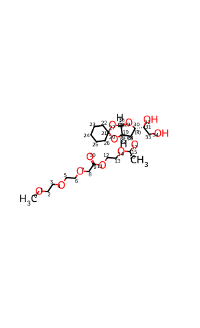 COCCOCCOCC(=O)OCCOC(C)O[C@@H]1[C@H]2OC3(CCCCC3)O[C@H]2O[C@@H]1C(O)CO